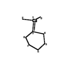 [CH3][Cu]([CH3])=[C]1CCCCC1